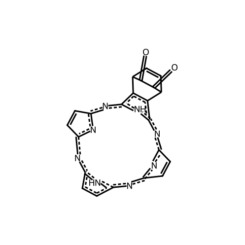 O=C1C(=O)C2C=CC1c1c2c2nc3nc(nc4ccc(nc5nc(nc1[nH]2)C=C5)[nH]4)C=C3